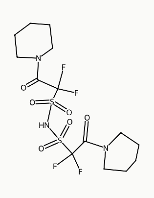 O=C(N1CCCCC1)C(F)(F)S(=O)(=O)NS(=O)(=O)C(F)(F)C(=O)N1CCCCC1